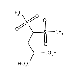 O=C(O)C(CC(S(=O)(=O)C(F)(F)F)S(=O)(=O)C(F)(F)F)C(=O)O